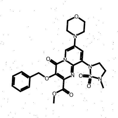 COC(=O)c1nc2c(N3CCN(C)S3(=O)=O)cc(N3CCOCC3)cn2c(=O)c1OCc1ccccc1